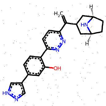 C=C(c1ccc(-c2ccc(-c3cn[nH]c3)cc2O)nn1)C1C[C@H]2CC[C@@H](C1)N2